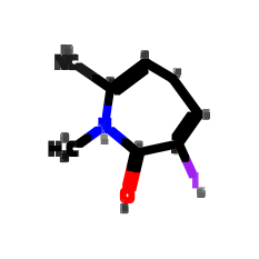 CN1C(=O)C(I)=CCC=C1C#N